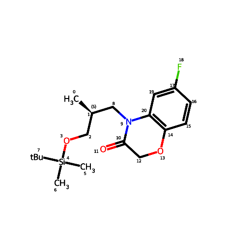 C[C@H](CO[Si](C)(C)C(C)(C)C)CN1C(=O)COc2ccc(F)cc21